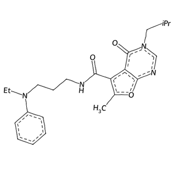 CCN(CCCNC(=O)c1c(C)oc2ncn(CC(C)C)c(=O)c12)c1ccccc1